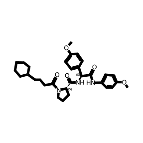 COc1ccc(NC(=O)[C@@H](NC(=O)[C@@H]2CCCN2C(=O)CCCC2CCCCC2)c2ccc(OC)cc2)cc1